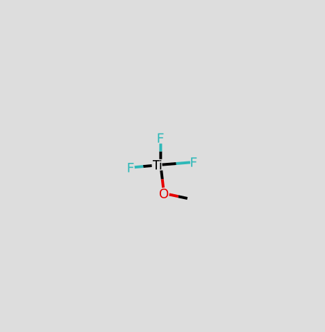 C[O][Ti]([F])([F])[F]